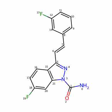 NC(=O)n1nc(/C=C/c2cccc(F)c2)c2c[c]c(F)cc21